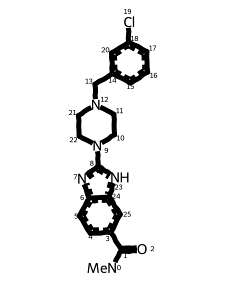 CNC(=O)c1ccc2nc(N3CCN(Cc4cccc(Cl)c4)CC3)[nH]c2c1